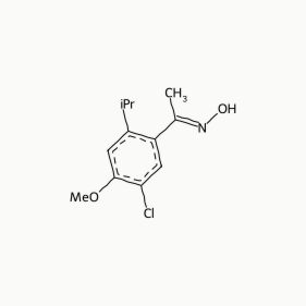 COc1cc(C(C)C)c(/C(C)=N/O)cc1Cl